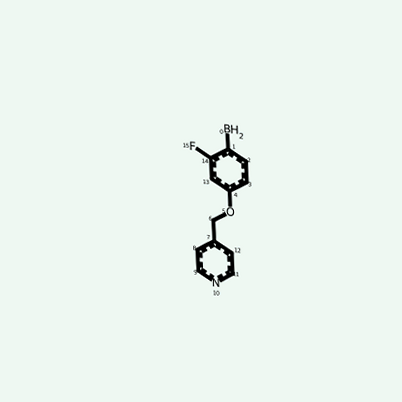 Bc1ccc(OCc2ccncc2)cc1F